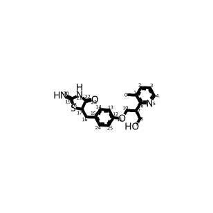 Cc1cccnc1C(CO)COc1ccc(CC2SC(=N)NC2=O)cc1